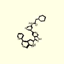 O=C(CC1CCCCC1)Nc1cncc(-c2cc3c(-c4cc5c(-c6ccccn6)cncc5[nH]4)n[nH]c3cn2)c1